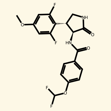 COc1cc(F)c([C@@H]2CNC(=O)[C@H]2NC(=O)c2ccc(OC(F)F)cc2)c(F)c1